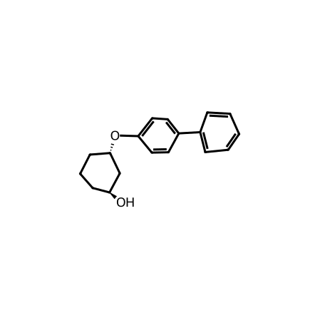 O[C@H]1CCC[C@H](Oc2ccc(-c3ccccc3)cc2)C1